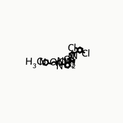 C=C(/N=C\C(=C/N)OCC1CCN(C)CC1)c1cccc(C2(C(=O)N3CCC(c4cc(Cl)ccc4Cl)=N3)CC2)c1